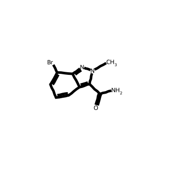 Cn1nc2c(Br)cccc2c1C(N)=O